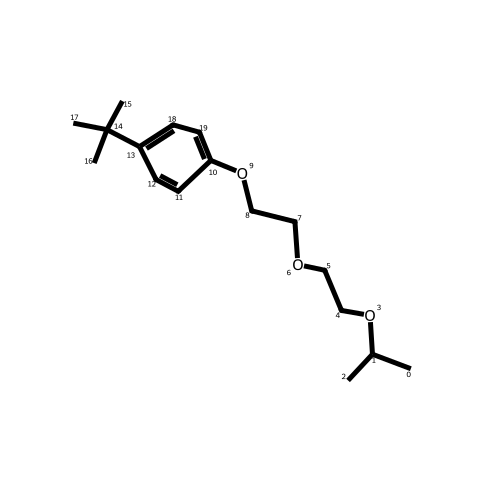 CC(C)OCCOCCOc1ccc(C(C)(C)C)cc1